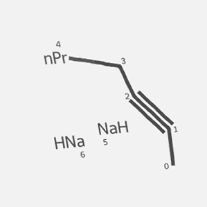 CC#CCCCC.[NaH].[NaH]